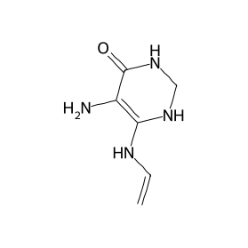 C=CNC1=C(N)C(=O)NCN1